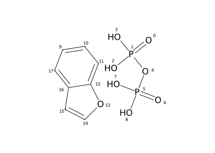 O=P(O)(O)OP(=O)(O)O.c1ccc2occc2c1